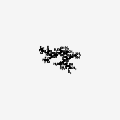 CC(C)C[C@H](NC(=O)[C@@H](N)[C@H](O)C(C)C)C(=O)N[C@H](CCCNC(=N)N)C(=O)N[C@H](C(=O)N[C@H](C(=O)NCC(=O)N[C@@H](COC(=O)C(F)(F)F)C(=O)N[C@@H](COC(=O)C(F)(F)F)C(=O)O)[C@H](C)O)C(C)C